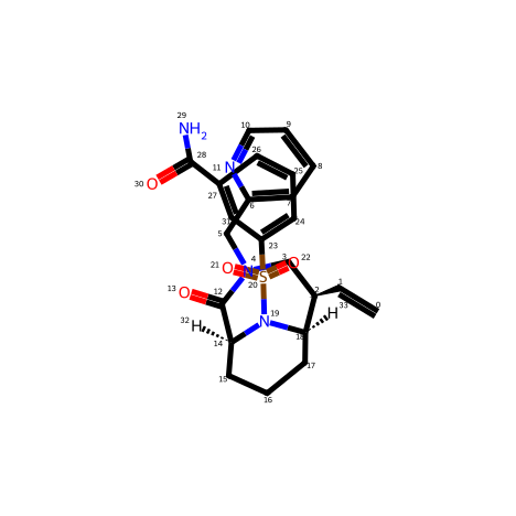 C=C[C@@H]1CN(Cc2ccccn2)C(=O)[C@@H]2CCC[C@H]1N2S(=O)(=O)c1cccc(C(N)=O)c1